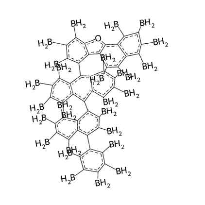 Bc1c(B)c(B)c(-c2c(B)c(B)c(-c3c4c(B)c(B)c(B)c(B)c4c(-c4c(B)c(B)c(B)c5oc6c7c(B)c(B)c(B)c(B)c7c(B)c(B)c6c45)c4c(B)c(B)c(B)c(B)c34)c3c(B)c(B)c(B)c(B)c23)c(B)c1B